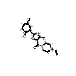 CCN1CCN(C(=O)c2sc(-c3cc(Cl)ccc3Cl)nc2C)CC1